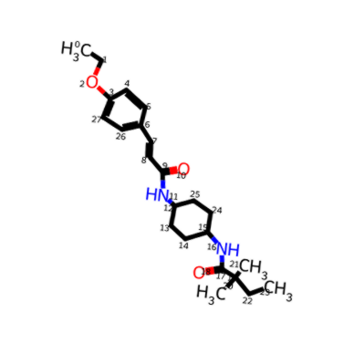 CCOc1ccc(/C=C/C(=O)NC2CCC(NC(=O)C(C)(C)CC)CC2)cc1